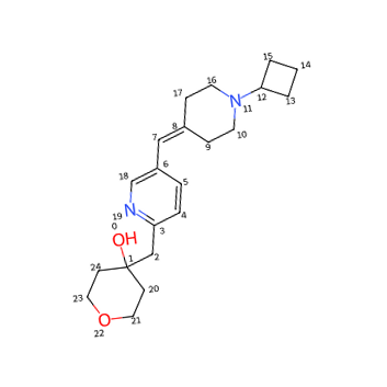 OC1(Cc2ccc(C=C3CCN(C4CCC4)CC3)cn2)CCOCC1